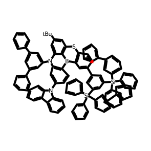 CC(C)(C)c1cc2c3c(c1)N(c1cc(-c4ccccc4)cc(-c4ccccc4)c1)c1cc(-n4c5ccccc5c5ccccc54)ccc1B3c1cc(-c3cc([Si](c4ccccc4)(c4ccccc4)c4cccc(-c5ccccc5)c4)cc([Si](c4ccccc4)(c4ccccc4)c4cccc(-c5ccccc5)c4)c3)ccc1S2